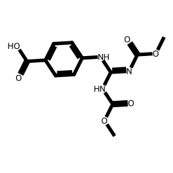 COC(=O)/N=C(/NC(=O)OC)Nc1ccc(C(=O)O)cc1